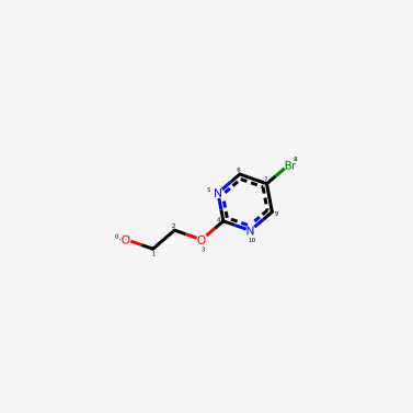 [O]CCOc1ncc(Br)cn1